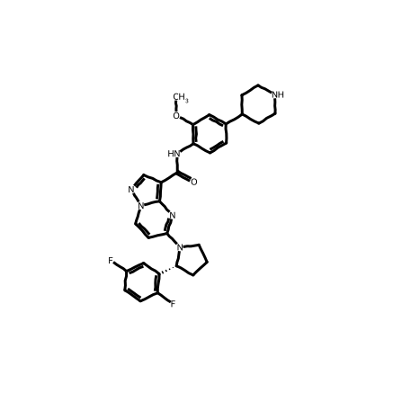 COc1cc(C2CCNCC2)ccc1NC(=O)c1cnn2ccc(N3CCC[C@@H]3c3cc(F)ccc3F)nc12